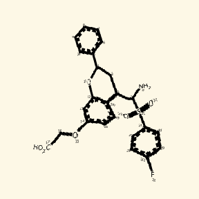 NC(C1CC(c2ccccc2)Oc2cc(OCC(=O)O)ccc21)S(=O)(=O)c1ccc(F)cc1